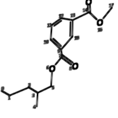 CCCC(C)COC(=O)c1cccc(C(=O)OC)c1